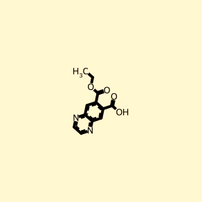 CCOC(=O)c1cc2nccnc2cc1C(=O)O